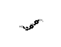 COc1ccc(CNc2ccc(CN3CCN(CCO)CC3)cc2)cc1